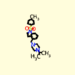 Cc1ccc(S(=O)(=O)n2ccc3c(CN4CCN(C(C)C)CC4)cccc32)cc1